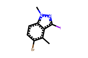 Cc1c(Br)ccc2c1c(I)nn2C